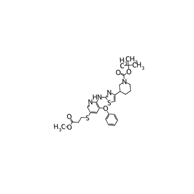 COC(=O)CCSc1cnc(Nc2nc(C3CCCN(C(=O)OC(C)(C)C)C3)cs2)c(Oc2ccccc2)c1